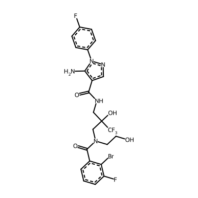 Nc1c(C(=O)NCC(O)(CN(CCO)C(=O)c2cccc(F)c2Br)C(F)(F)F)cnn1-c1ccc(F)cc1